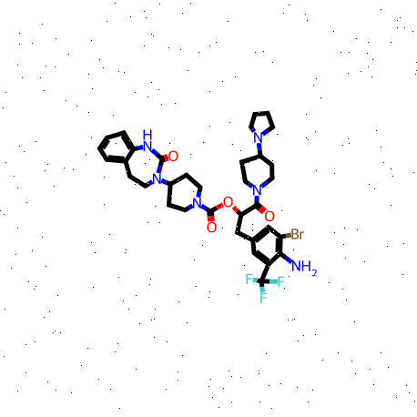 Nc1c(Br)cc(CC(OC(=O)N2CCC(N3CCc4ccccc4NC3=O)CC2)C(=O)N2CCC(N3CCCC3)CC2)cc1C(F)(F)F